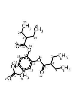 CC(=O)O.CCC(CC)C(=O)Oc1ccccc1OC(=O)C(CC)CC